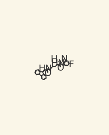 Nc1cc(F)ccc1NC(=O)CCCCNC(=O)C=C1c2ccccc2-c2ccccc21